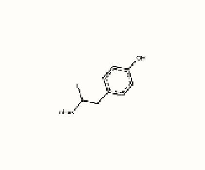 CCCCCCC(F)Cc1ccc(O)cc1